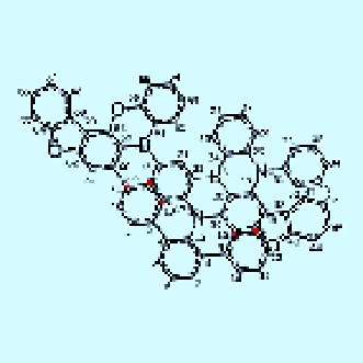 c1ccc(-c2cccc(-c3ccccc3)c2N2c3cc4c(cc3B3c5ccccc5N(c5ccccc5)c5c3c2cc2oc3ccccc3c52)B2c3ccccc3Oc3c2c(cc2oc5ccccc5c32)S4)cc1